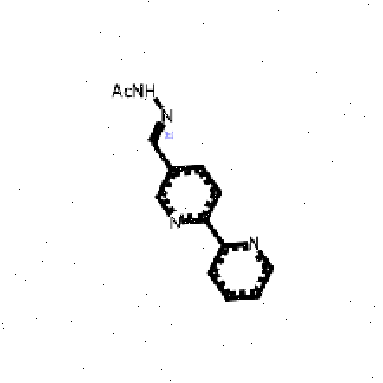 CC(=O)N/N=C/c1ccc(-c2ccccn2)nc1